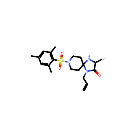 C=CCN1C(=O)C(C(C)C)NC12CCN(S(=O)(=O)c1c(C)cc(C)cc1C)CC2